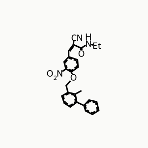 CCNC(=O)C(C#N)=Cc1ccc(OCc2cccc(-c3ccccc3)c2C)c([N+](=O)[O-])c1